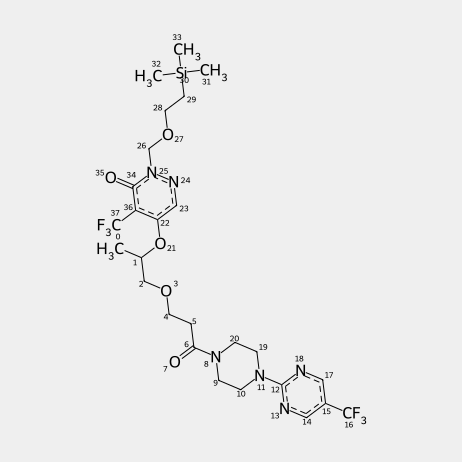 CC(COCCC(=O)N1CCN(c2ncc(C(F)(F)F)cn2)CC1)Oc1cnn(COCC[Si](C)(C)C)c(=O)c1C(F)(F)F